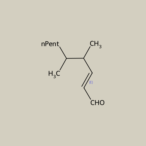 CCCCCC(C)C(C)/C=C/C=O